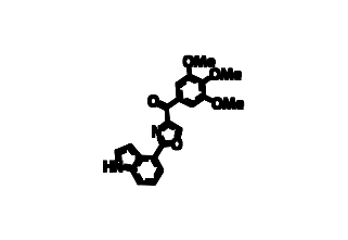 COc1cc(C(=O)c2coc(-c3cccc4[nH]ccc34)n2)cc(OC)c1OC